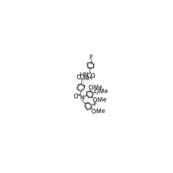 COc1ccc(CN(C(=O)c2ccc(C(=O)NNC(=O)c3ccc(F)cc3)cc2)c2cc(OC)c(OC)c(OC)c2)cc1F